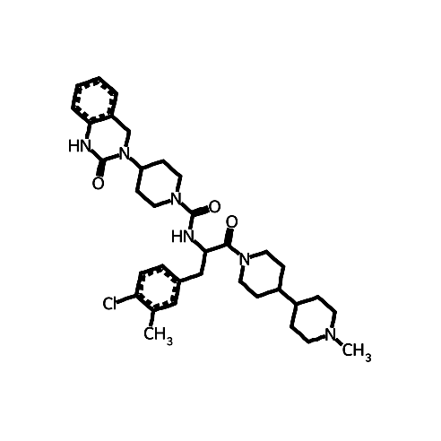 Cc1cc(CC(NC(=O)N2CCC(N3Cc4ccccc4NC3=O)CC2)C(=O)N2CCC(C3CCN(C)CC3)CC2)ccc1Cl